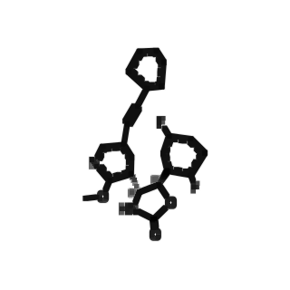 COc1ncc(C#Cc2ccccc2)cc1[C@H]1NC(=O)O[C@@H]1c1cc(F)ccc1F